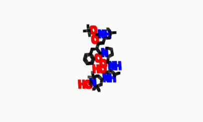 CC(C)C[C@@H](/C=C/[C@H](Cc1ccccc1)C(=O)N1CCC[C@H]1C(=O)N[C@@H](C(C)C)C(O)NC1CC(C)(C)N(O)C(C)(C)C1)NC(=O)OC(C)(C)C